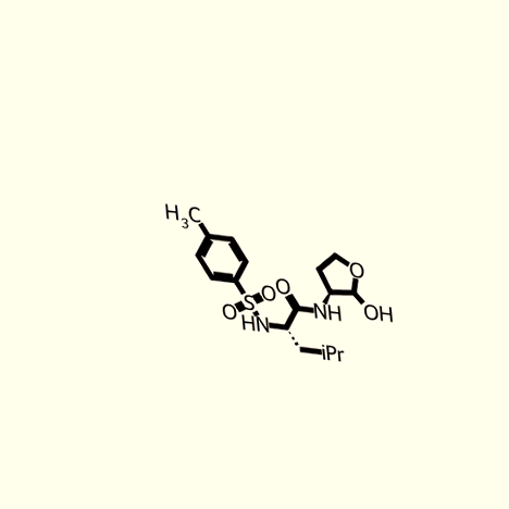 Cc1ccc(S(=O)(=O)N[C@@H](CC(C)C)C(=O)N[C@H]2CCOC2O)cc1